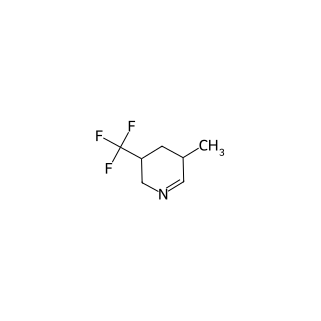 CC1C=NCC(C(F)(F)F)C1